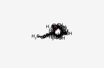 CCCCCOc1ccc(-c2ccc(-c3ccc(C(=O)NC4C[C@@H](O)C(OCC[N+](C)(C)C)NC(=O)C5[C@@H](O)[C@@H](C)CN5C(=O)C([C@@H](C)O)NC(=O)C([C@H](O)[C@@H](O)c5ccc(O)cc5)NC(=O)C5C[C@@H](O)CN5C(=O)C([C@@H](C)O)NC4=O)cc3)cc2)cc1